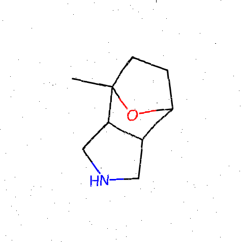 CC12CCC(O1)C1CNCC12